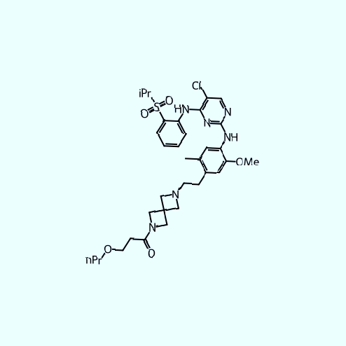 CCCOCCC(=O)N1CC2(CN(CCc3cc(OC)c(Nc4ncc(Cl)c(Nc5ccccc5S(=O)(=O)C(C)C)n4)cc3C)C2)C1